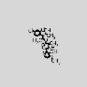 COc1ccnc(C(=O)N[C@@H](C)C(=O)O[C@@H](C)[C@H](c2ccc(Cl)cc2Cl)C(C)C)c1O